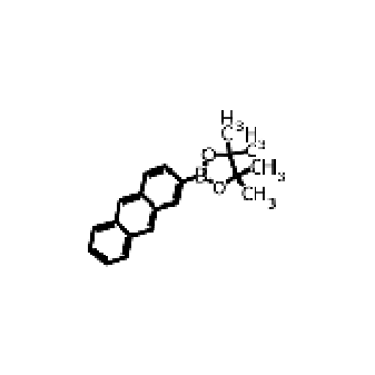 CC1(C)OB(c2ccc3cc4ccccc4cc3c2)OC1(C)C